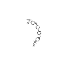 CNC(=O)C1=CCN(SC2C=CC(c3ccc(CN4CCN(C(C)(C)COC)CC4)cc3)CC2)CC1